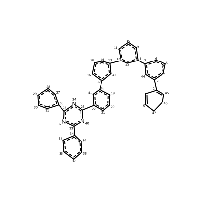 C1=CC(c2cccc(-c3cccc(-c4cccc(-c5cccc(-c6nc(-c7ccccc7)nc(-c7ccccc7)n6)c5)c4)c3)c2)=CCC1